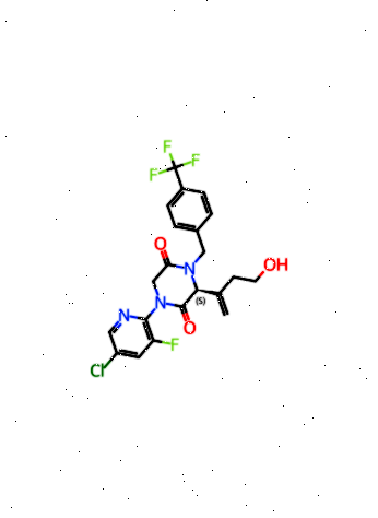 C=C(CCO)[C@H]1C(=O)N(c2ncc(Cl)cc2F)CC(=O)N1Cc1ccc(C(F)(F)F)cc1